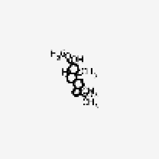 CC[C@]12CC[C@](O)(COC)C[C@H]1CCC1=C2C=C[C@]2(C)C(C(C)=O)=CC=C12